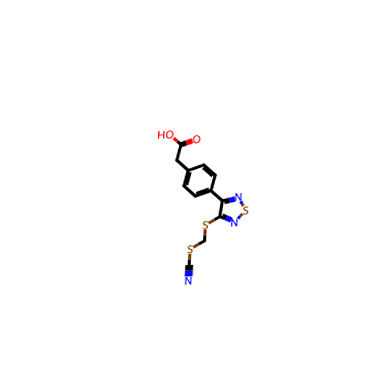 N#CSCSc1nsnc1-c1ccc(CC(=O)O)cc1